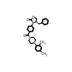 Cc1ccc(N2CCN(C(=O)c3ccc(N4C(=O)OC[C@H]4Cc4ccccc4)cc3)CC2)c(C)c1